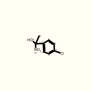 CC(O)(c1ccc(Cl)cc1)[N+](=O)[O-]